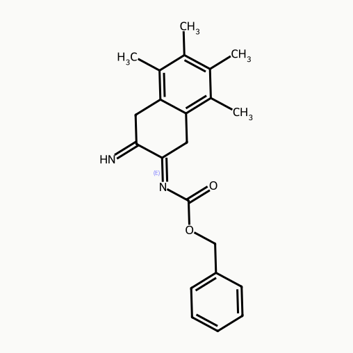 Cc1c(C)c(C)c2c(c1C)CC(=N)/C(=N/C(=O)OCc1ccccc1)C2